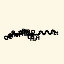 CC/C=C\C/C=C\C/C=C\C/C=C\C/C=C\C/C=C\CCC(=O)NCC(NC(=O)C(C)(C)Oc1ccc(CCNC(=O)c2ccc(Cl)cc2)cc1)C(=O)O